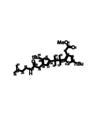 COC(=O)Cc1cc(C(C)(C)C)sc1C(C)(C)C(C)(C)c1cc(CC(=O)NCCN(C)C)c(C(C)(C)C)s1